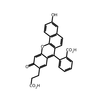 O=C(O)CCc1cc2c(-c3ccccc3C(=O)O)c3ccc4cc(O)ccc4c3oc-2cc1=O